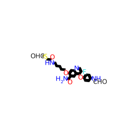 NC(=O)c1cc2c(Oc3ccc(NC=O)cc3F)ccnc2cc1OCCCCCNC(=O)CSC=O